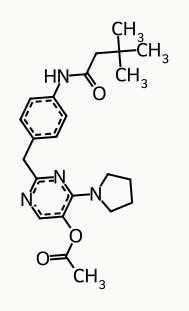 CC(=O)Oc1cnc(Cc2ccc(NC(=O)CC(C)(C)C)cc2)nc1N1CCCC1